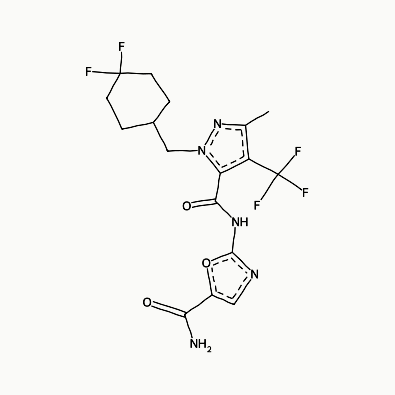 Cc1nn(CC2CCC(F)(F)CC2)c(C(=O)Nc2ncc(C(N)=O)o2)c1C(F)(F)F